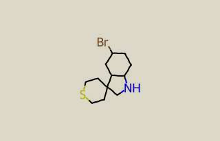 BrC1CCC2NCC3(CCSCC3)C2C1